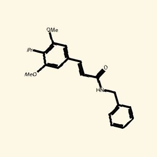 COc1cc(C=CC(=O)NCc2ccccc2)cc(OC)c1C(C)C